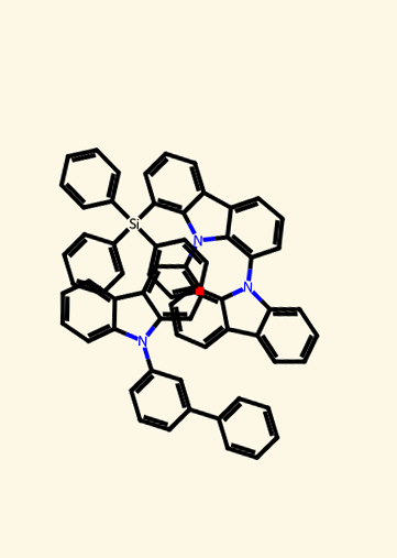 c1ccc(-c2cccc(-n3c4ccccc4c4cc(-n5c6c(-n7c8ccccc8c8ccccc87)cccc6c6cccc([Si](c7ccccc7)(c7ccccc7)c7ccccc7)c65)ccc43)c2)cc1